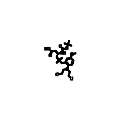 COc1ccc(N(CCCl)CCCl)c(CC(C)(C)C[C@@H](CC(=O)O)NC(=O)OC(C)(C)C)c1